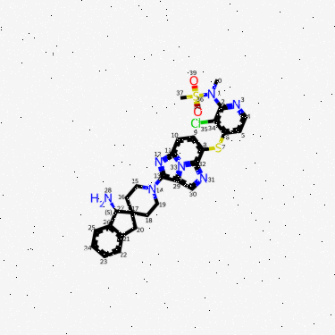 CN(c1nccc(Sc2ccc3nc(N4CCC5(CC4)Cc4ccccc4[C@H]5N)c4cnc2n34)c1Cl)S(C)(=O)=O